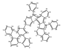 c1ccc(-c2nc(-c3ccc4c(c3)c3c5c6ccc7ccccc7c6n(-c6ccccc6)c5c5ccccc5c3n4-c3ccccc3)nc3c4ccccc4c4ccccc4c23)cc1